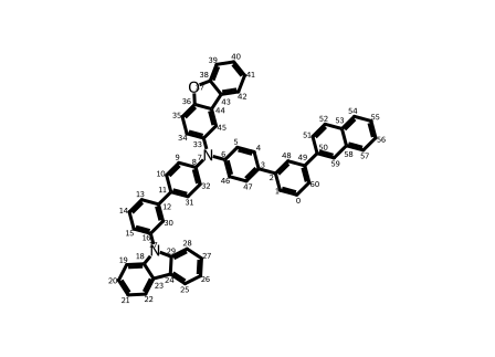 c1cc(-c2ccc(N(c3ccc(-c4cccc(-n5c6ccccc6c6ccccc65)c4)cc3)c3ccc4oc5ccccc5c4c3)cc2)cc(-c2ccc3ccccc3c2)c1